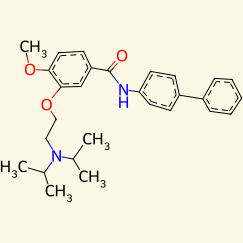 COc1ccc(C(=O)Nc2ccc(-c3ccccc3)cc2)cc1OCCN(C(C)C)C(C)C